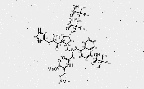 COC(=O)C(CCSC)NC(=O)CN(Cc1cccc2ccccc12)C[C@@H]1CCCN1C(=O)[C@@H](N)Cc1c[nH]cn1.O=C(O)C(F)(F)F.O=C(O)C(F)(F)F.O=C(O)C(F)(F)F